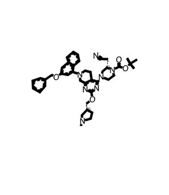 CN1CC[C@@H](COc2nc3c(c(N4CCN(C(=O)OC(C)(C)C)[C@@H](CC#N)C4)n2)CCN(c2cc(OCc4ccccc4)cc4ccccc24)C3)C1